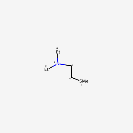 CCN(CC)CCSC